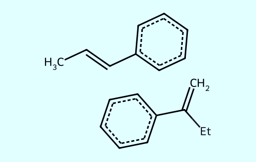 C=C(CC)c1ccccc1.CC=Cc1ccccc1